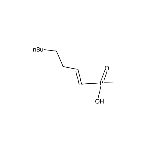 CCCCCCC=CP(C)(=O)O